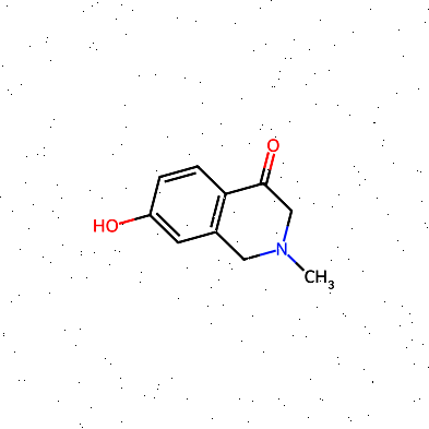 CN1CC(=O)c2ccc(O)cc2C1